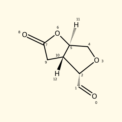 O=C[C@H]1OC[C@@H]2OC(=O)C[C@H]21